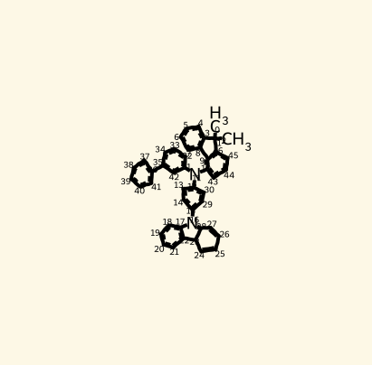 CC1(C)c2ccccc2-c2c(N(c3ccc(N4c5ccccc5C5C=CC=CC54)cc3)c3cccc(-c4ccccc4)c3)cccc21